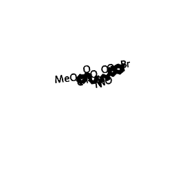 COc1ccc2c(c1)C(=O)C(=O)N2Cc1cn(CC(=O)c2cc3ccc(Br)cc3oc2=O)nn1